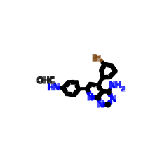 Nc1ncnc2nc(-c3ccc(NC=O)cc3)cc(-c3cccc(Br)c3)c12